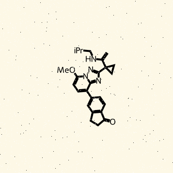 C=C(NCC(C)C)C1(c2nc3c(-c4ccc5c(c4)CCC5=O)ccc(OC)n3n2)CC1